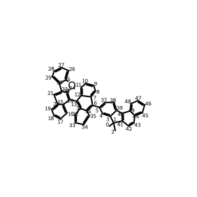 CC1(C)c2cc(-c3c4ccccc4c(-c4c5ccccc5cc5c4oc4ccccc45)c4ccccc34)ccc2-c2c1ccc1ccccc21